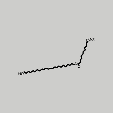 CCCCCCCCC=CCCCCCCCCCC(=O)OCCCCCCCCCCCCCCCCCCCCCCCCO